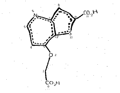 O=C(O)COc1ccnc2cc(C(=O)O)sc12